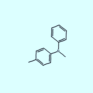 Cc1ccc(N(C)c2ccccc2)cc1